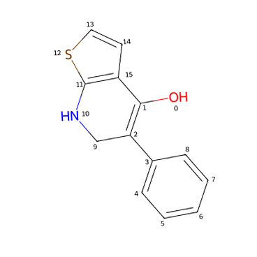 OC1=C(c2ccccc2)CNc2sccc21